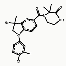 CCC1(C)CN(c2ccc(Cl)c(F)c2)c2ccc(C(=O)N3CCNC(=O)C3(C)C)nc21